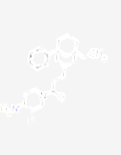 CCC12CCCC(c3ccccc3)(CC(CCC(=O)N3CC[C@H](N)[C@@H](F)C3)C1)C2